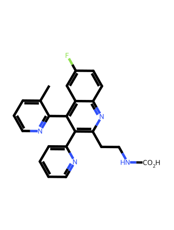 Cc1cccnc1-c1c(-c2ccccn2)c(CCNC(=O)O)nc2ccc(F)cc12